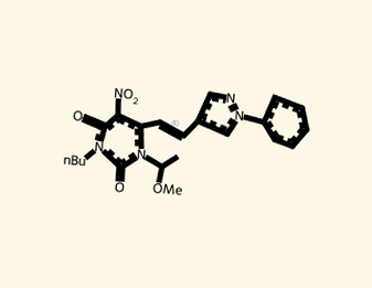 CCCCn1c(=O)c([N+](=O)[O-])c(/C=C/c2cnn(-c3ccccc3)c2)n(C(C)OC)c1=O